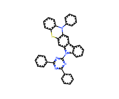 c1ccc(-c2nc(-c3ccccc3)nc(-n3c4ccccc4c4cc5c(cc43)Sc3ccccc3N5c3ccccc3)n2)cc1